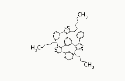 CCCCCCc1scc(-c2ccccc2)c1-c1cc(-c2c(-c3ccccc3)csc2CCCCCC)cc(-c2c(-c3ccccc3)csc2CCCCCC)c1